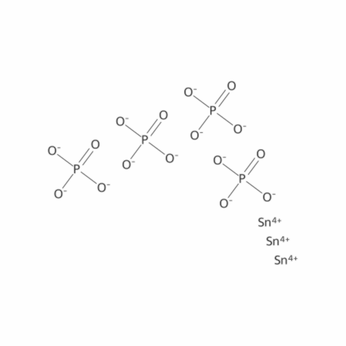 O=P([O-])([O-])[O-].O=P([O-])([O-])[O-].O=P([O-])([O-])[O-].O=P([O-])([O-])[O-].[Sn+4].[Sn+4].[Sn+4]